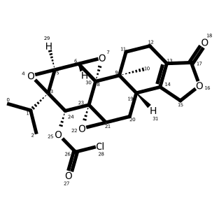 CC(C)[C@]12O[C@H]1[C@@H]1O[C@@]13[C@@]1(C)CCC4=C(COC4=O)[C@@H]1CC1O[C@@]13[C@@H]2OC(=O)Cl